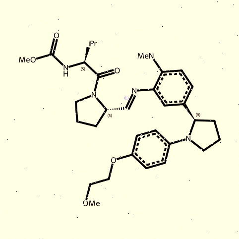 CNc1ccc([C@H]2CCCN2c2ccc(OCCOC)cc2)cc1/N=C/[C@@H]1CCCN1C(=O)[C@@H](NC(=O)OC)C(C)C